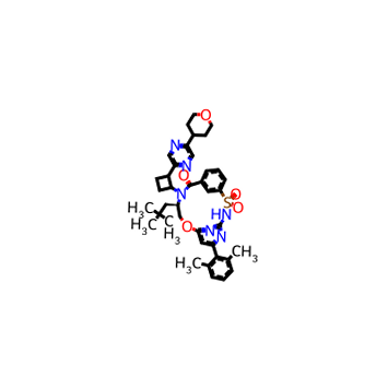 Cc1cccc(C)c1-c1cc2nc(n1)NS(=O)(=O)c1cccc(c1)C(=O)N(C1CCC1c1cnc(C3CCOCC3)cn1)[C@H](CC(C)(C)C)CO2